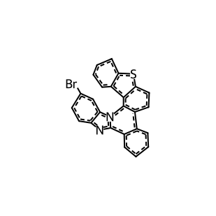 Brc1ccc2nc3c4ccccc4c4ccc5sc6ccccc6c5c4n3c2c1